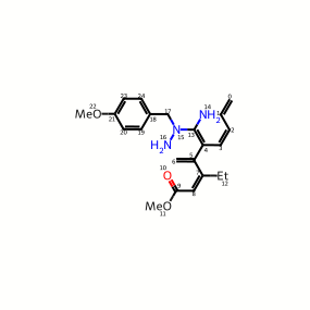 C=C/C=C\C(C(=C)/C(=C\C(=O)OC)CC)=C(/N)N(N)Cc1ccc(OC)cc1